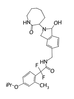 Cc1cc(OC(C)C)ccc1C(F)(F)C(=O)NCc1ccc2c(c1)CN(C1CCCCCNC1=O)C2O